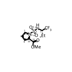 CC[C@H](NS(=O)(=O)n1cccc1C(=O)OC)C(F)(F)F